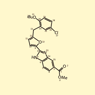 COC(=O)c1ccc2[nH]c(-c3ccc(Cc4cc(Cl)ccc4OCC(C)C)o3)nc2c1